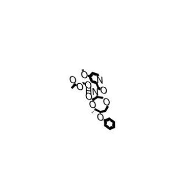 COc1ccnc(C(=O)N[C@H]2COCC[C@@H](Oc3ccccc3)[C@H](C)OC2=O)c1OCOC(C)=O